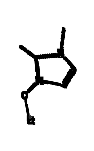 CCON1C=CN(C)C1C